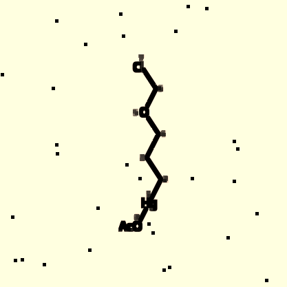 CC(=O)[O][Hg][CH2]CCOCCl